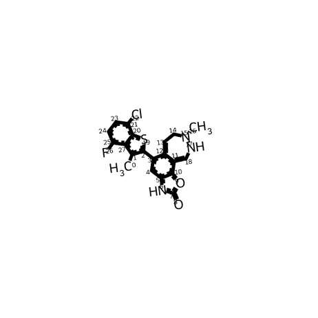 Cc1c(-c2cc3[nH]c(=O)oc3c3c2=CCN(C)NC=3)sc2c(Cl)ccc(F)c12